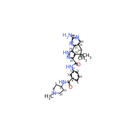 CN1CCC(NC(=O)c2cccc(NC(=O)c3n[nH]c4c3C(C)(C)Cc3cnc(N)nc3-4)c2)CC1